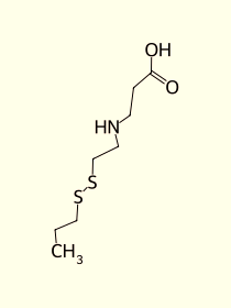 CCCSSCCNCCC(=O)O